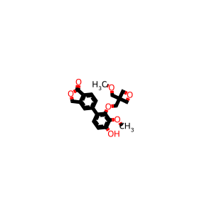 COCC1(COc2c(-c3ccc4c(c3)COC4=O)ccc(O)c2OC)COC1